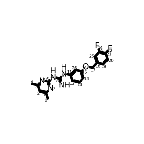 Cc1cc(C)nc(NC(=N)Nc2cccc(OCc3ccc(F)c(F)c3)c2)n1